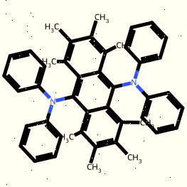 Cc1c(C)c(C)c2c(N(c3ccccc3)c3ccccc3)c3c(C)c(C)c(C)c(C)c3c(N(c3ccccc3)c3ccccc3)c2c1C